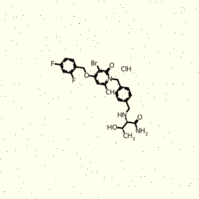 Cc1cc(OCc2ccc(F)cc2F)c(Br)c(=O)n1Cc1ccc(CN[C@@H](C(N)=O)[C@@H](C)O)cc1.Cl